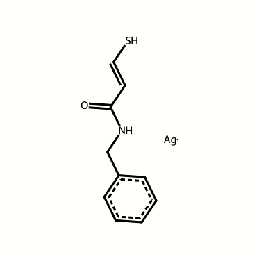 O=C(C=CS)NCc1ccccc1.[Ag]